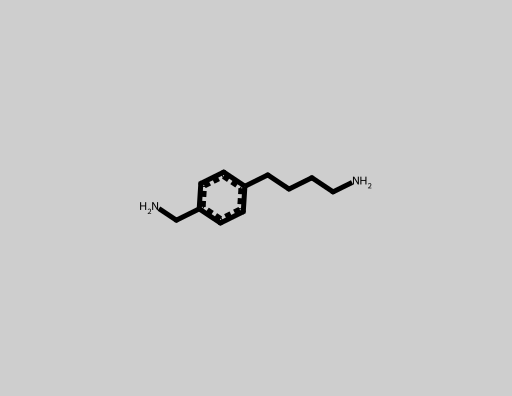 NCCCCc1ccc(CN)cc1